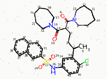 CC(CCC(C(=O)N1CCCCCC1)C(=O)N1CCCCCC1)c1cc(NS(=O)(=O)c2ccc3ccccc3c2)ccc1Cl